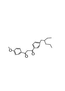 CCCC(CC)Cc1ccc(C(=O)CC(=O)c2ccc(OC)cc2)cc1